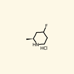 C[C@H]1CC(F)CCN1.Cl